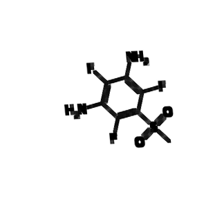 CS(=O)(=O)c1c(F)c(N)c(F)c(N)c1F